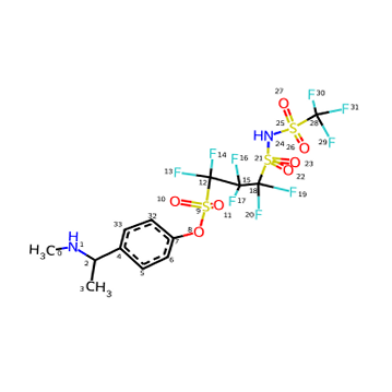 CNC(C)c1ccc(OS(=O)(=O)C(F)(F)C(F)(F)C(F)(F)S(=O)(=O)NS(=O)(=O)C(F)(F)F)cc1